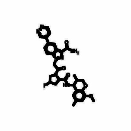 COc1cc(C)cc2c1OCC(C)C2NC(=O)C1CC(F)CN1C(=O)Cn1nc(C(N)=O)c2cc(-c3ccnnc3)ccc21